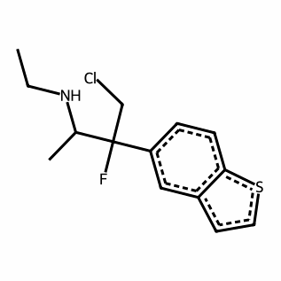 CCNC(C)C(F)(CCl)c1ccc2sccc2c1